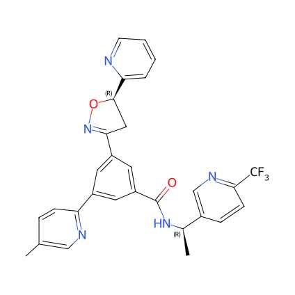 Cc1ccc(-c2cc(C(=O)N[C@H](C)c3ccc(C(F)(F)F)nc3)cc(C3=NO[C@@H](c4ccccn4)C3)c2)nc1